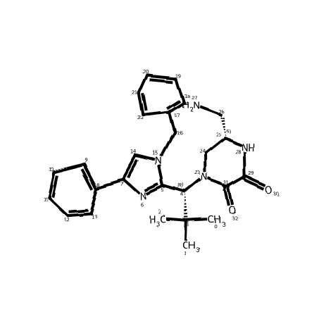 CC(C)(C)[C@H](c1nc(-c2ccccc2)cn1Cc1ccccc1)N1C[C@H](CN)NC(=O)C1=O